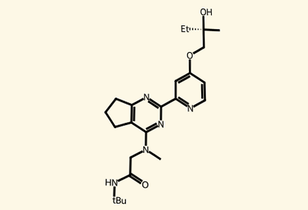 CC[C@@](C)(O)COc1ccnc(-c2nc3c(c(N(C)CC(=O)NC(C)(C)C)n2)CCC3)c1